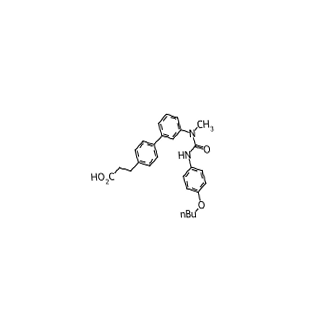 CCCCOc1ccc(NC(=O)N(C)c2cccc(-c3ccc(CCC(=O)O)cc3)c2)cc1